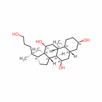 C[C@H](CCCO)[C@H]1CC[C@H]2[C@@H]3[C@H](O)C[C@H]4C[C@H](O)CC[C@]4(C)[C@H]3C[C@H](O)[C@]12C